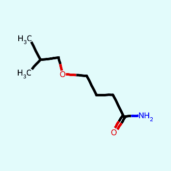 CC(C)COCCCC(N)=O